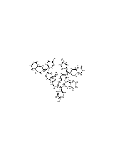 Cc1ccc(N(c2cccc(P(=O)(c3cccc(N(c4ccc(C)cc4)c4ccc5ccccc5c4)c3)c3cccc(N(c4ccc(C)cc4)c4ccc5ccccc5c4)c3)c2)c2ccc3ccccc3c2)cc1